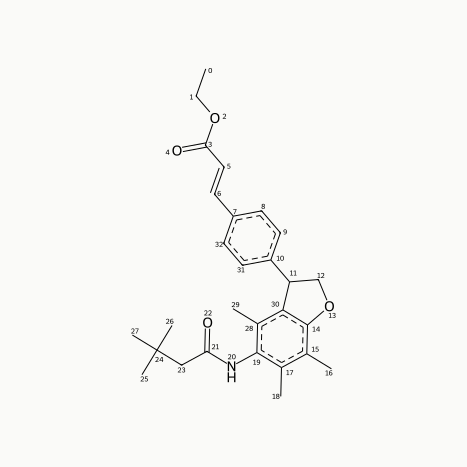 CCOC(=O)/C=C/c1ccc(C2COc3c(C)c(C)c(NC(=O)CC(C)(C)C)c(C)c32)cc1